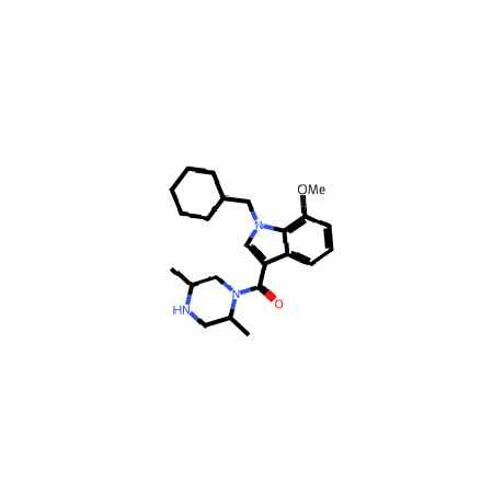 COc1cccc2c(C(=O)N3CC(C)NCC3C)cn(CC3CCCCC3)c12